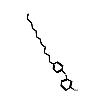 CCCCCCCCCCCCc1ccc(Sc2cccc(O)c2)cc1